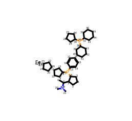 CC([C]1[CH][CH][CH][C]1P([C]1[CH][CH][CH][CH]1)c1ccccc1)N(C)C.[CH]1[CH][CH][CH][CH]1.[CH]1[CH][CH][C](P(C2CCCCC2)C2CCCCC2)[CH]1.[Fe].[Fe]